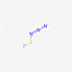 [N-]=[N+]=NSI